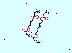 CC(=O)CC(=O)OCCCCCCOC(=O)CC(C)=O.CC(=O)CC(=O)OCCCCOC(=O)CC(C)=O